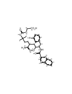 CC(C)(CCC(CC(O)C(Cc1cccc(F)c1)NC(=O)c1cnc2ccccc2n1)C(N)=O)OC(=O)OCC(=O)O